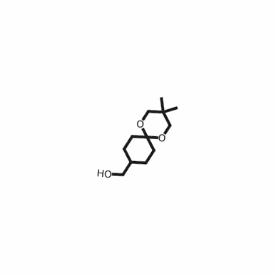 CC1(C)COC2(CCC(CO)CC2)OC1